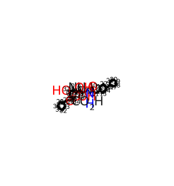 CC(=O)N[C@H]1[C@H]([C@H](O)[C@H](O)CNC(=O)Cc2ccc(-c3ccccc3)cc2)O[C@@](OCc2ccccc2)(C(=O)O)C[C@@H]1O